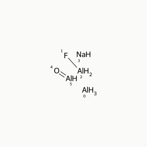 [AlH3].[F][AlH2].[NaH].[O]=[AlH]